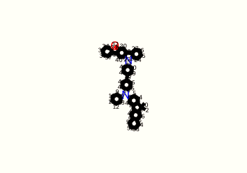 CC1(C)c2ccc(N(c3ccccc3)c3ccc(-c4ccc(-n5c6ccccc6c6cc7oc8ccccc8c7cc65)cc4)cc3)cc2-c2cc3ccccc3cc21